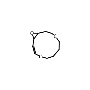 C1=CC2OC2CCCCCCCC1